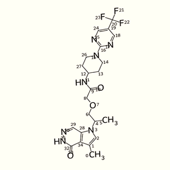 Cc1cn(C(C)COCC(=O)NC2CCN(c3ncc(C(F)(F)F)cn3)CC2)c2cn[nH]c(=O)c12